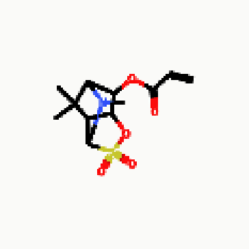 C=CC(=O)OC1C2OS(=O)(=O)C3C2C(C)(C)C1N3C